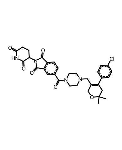 CC1(C)CC(c2ccc(Cl)cc2)=C(CN2CCN(C(=O)c3ccc4c(c3)C(=O)N(C3CCC(=O)NC3=O)C4=O)CC2)CO1